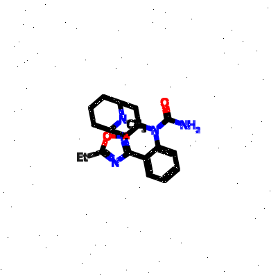 CCc1nc(-c2ccccc2N(C(N)=O)C2CC3CCCC(C2)N3C)no1